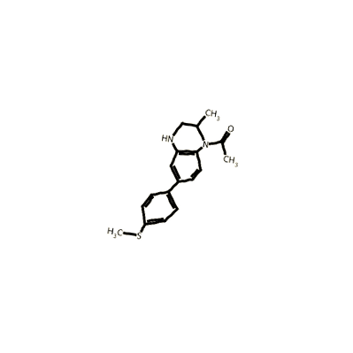 CSc1ccc(-c2ccc3c(c2)NCC(C)N3C(C)=O)cc1